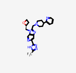 FC(F)(F)c1nnc(-c2cc3nc(CN4CCC(c5ccccn5)CC4)n(C[C@@H]4CCO4)c3cn2)[nH]1